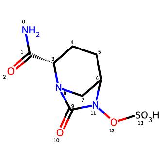 NC(=O)[C@@H]1CCC2CN1C(=O)N2OS(=O)(=O)O